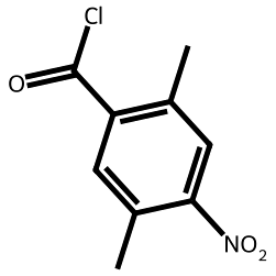 Cc1cc([N+](=O)[O-])c(C)cc1C(=O)Cl